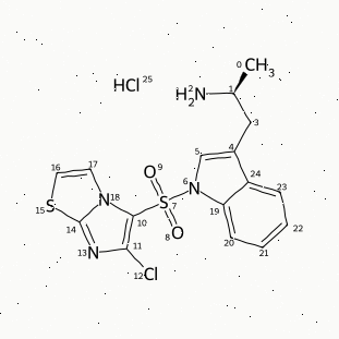 C[C@H](N)Cc1cn(S(=O)(=O)c2c(Cl)nc3sccn23)c2ccccc12.Cl